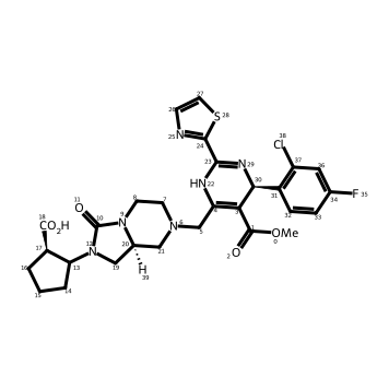 COC(=O)C1=C(CN2CCN3C(=O)N(C4CCC[C@H]4C(=O)O)C[C@@H]3C2)NC(c2nccs2)=N[C@H]1c1ccc(F)cc1Cl